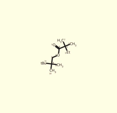 CCC(C)(C)C(=O)OCC(C)(C)C(C)(C)C